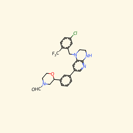 O=CN1CCOC(c2cccc(-c3cnc4c(c3)N(Cc3cc(Cl)ccc3C(F)(F)F)CCN4)c2)C1